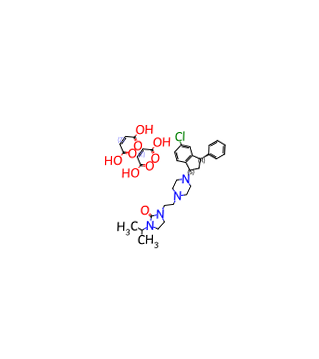 CC(C)N1CCN(CCN2CCN([C@H]3C[C@H](c4ccccc4)c4cc(Cl)ccc43)CC2)C1=O.O=C(O)/C=C\C(=O)O.O=C(O)/C=C\C(=O)O